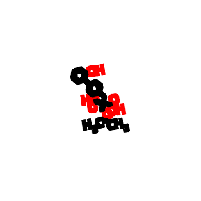 CC(C)OCC(Cc1ccc(-c2ccccc2O)cc1)(C(=O)O)C(=O)O